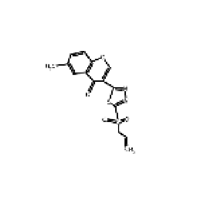 C=CCS(=O)(=O)c1nnc(-c2coc3ccc(C)cc3c2=O)s1